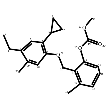 CCc1cc(C2CC2)c(OCc2c(C)cccc2OC(=O)OC)cc1C